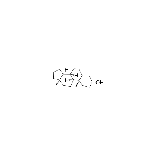 C[C@@]12[CH]CC[C@H]1[C@@H]1CCC3CC(O)CC[C@]3(C)[C@@H]1CC2